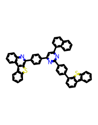 c1ccc2c(-c3cc(-c4ccc(-c5nc6ccccc6c6c5sc5ccccc56)cc4)nc(-c4ccc(-c5cccc6c5sc5ccccc56)cc4)n3)cccc2c1